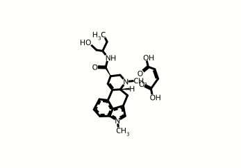 CCC(CO)NC(=O)[C@@H]1C=C2c3cccc4c3c(cn4C)C[C@H]2N(C)C1.O=C(O)/C=C\C(=O)O